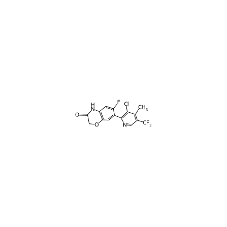 Cc1c(C(F)(F)F)cnc(-c2cc3c(cc2F)NC(=O)CO3)c1Cl